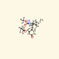 CCC[C@H]1CC[C@H]2[C@H](CNC(=O)OC(C)(C)C)[C@@H]([C@@]3(C)CCC(=O)C[C@@H]3CO[Si](C)(C)C(C)(C)C)CC[C@]12C